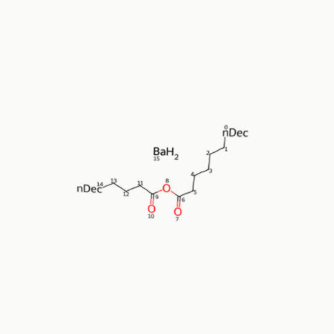 CCCCCCCCCCCCCCCC(=O)OC(=O)CCCCCCCCCCCCC.[BaH2]